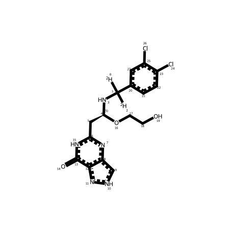 [2H]C([2H])(N[C@H](Cc1nc2c[nH]nc2c(=O)[nH]1)OCCO)c1ccc(Cl)c(Cl)c1